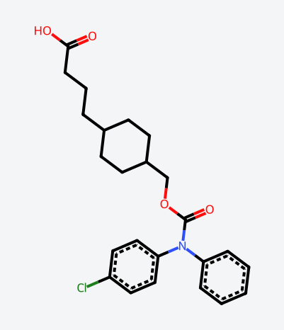 O=C(O)CCCC1CCC(COC(=O)N(c2ccccc2)c2ccc(Cl)cc2)CC1